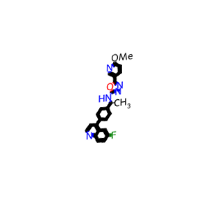 COc1ccc(-c2nnc(N[C@H](C)C3CCC(c4ccnc5ccc(F)cc45)CC3)o2)cn1